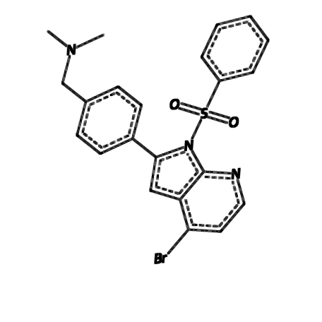 CN(C)Cc1ccc(-c2cc3c(Br)ccnc3n2S(=O)(=O)c2ccccc2)cc1